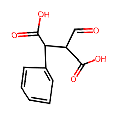 O=CC(C(=O)O)C(C(=O)O)c1ccccc1